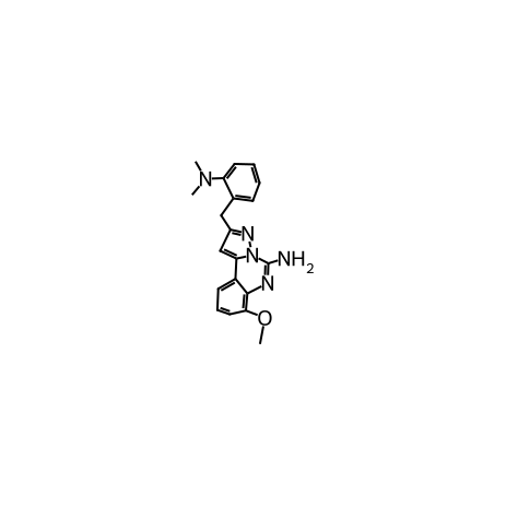 COc1cccc2c1nc(N)n1nc(Cc3ccccc3N(C)C)cc21